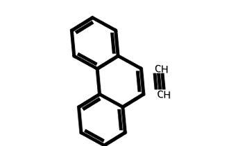 C#C.c1ccc2c(c1)ccc1ccccc12